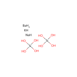 O[Si](O)(O)O.O[Si](O)(O)O.[BaH2].[KH].[NaH]